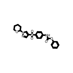 O=C(Nc1ccc(S(=O)(=O)c2cnn(C3CCCCO3)c2)cc1)Oc1ccccc1